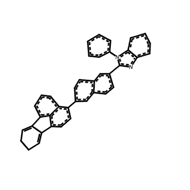 C1=C2C(=CCC1)c1ccc(-c3ccc4cc(-c5nc6ccccc6n5-c5ccccc5)ccc4c3)c3cccc2c13